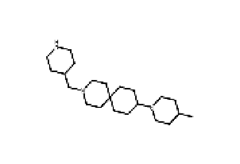 CC1CCN(C2CCC3(CC2)CCN(CC2CCNCC2)CC3)CC1